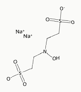 O=S(=O)([O-])CCN(O)CCS(=O)(=O)[O-].[Na+].[Na+]